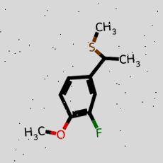 COc1ccc(C(C)SC)cc1F